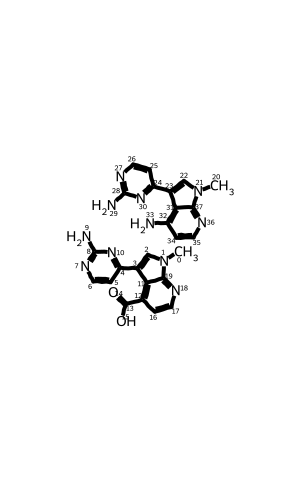 Cn1cc(-c2ccnc(N)n2)c2c(C(=O)O)ccnc21.Cn1cc(-c2ccnc(N)n2)c2c(N)ccnc21